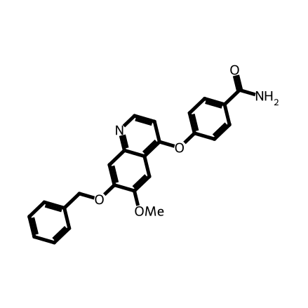 COc1cc2c(Oc3ccc(C(N)=O)cc3)ccnc2cc1OCc1ccccc1